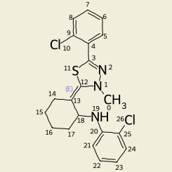 CN1N=C(c2ccccc2Cl)S/C1=C1\CCCCC1Nc1ccccc1Cl